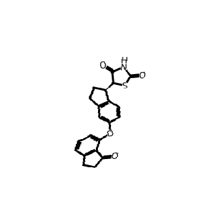 O=C1NC(=O)C([C@@H]2CCc3cc(Oc4cccc5c4C(=O)CC5)ccc32)S1